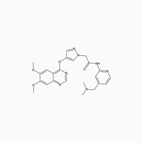 COc1cc2ncnc(Oc3cnn(CC(=O)Nc4cc(CN(C)C)ccn4)c3)c2cc1OC